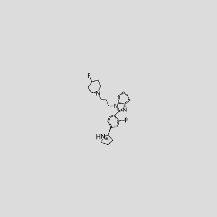 Fc1cc([C@H]2CCCN2)ccc1-c1nc2ccccc2n1CCCN1CCC(F)CC1